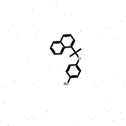 CCC(C)c1ccc(OC(C)(C)c2cccc3ccccc23)cc1